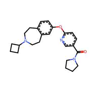 O=C(c1ccc(Oc2ccc3c(c2)CCN(C2CCC2)CC3)nc1)N1CCCC1